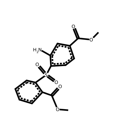 COC(=O)c1ccc(S(=O)(=O)c2ccccc2C(=O)OC)c(N)c1